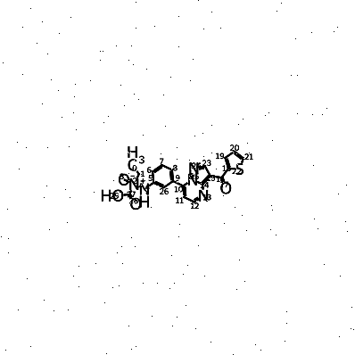 CC[N+]([O-])(Nc1cccc(-c2ccnc3c(C(=O)c4cccs4)cnn23)c1)C(=O)O